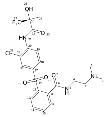 CN(C)CCNC(=O)c1ccccc1S(=O)(=O)c1ccc(NC(=O)[C@@](C)(O)C(F)(F)F)c(Cl)c1